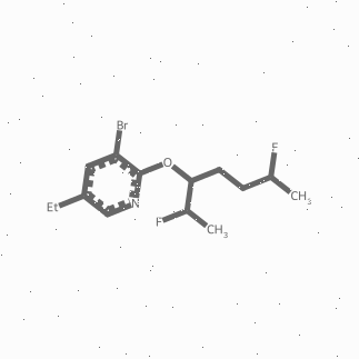 CCc1cnc(OC(CCC(C)F)C(C)F)c(Br)c1